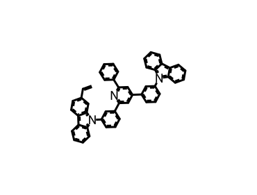 C=Cc1ccc2c3ccccc3n(-c3cccc(-c4cc(-c5cccc(-n6c7ccccc7c7ccccc76)c5)cc(-c5ccccc5)n4)c3)c2c1